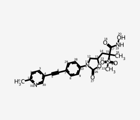 Cc1ccc(C#Cc2ccc(N3CC(CC(C)(C(=O)NO)S(C)(=O)=O)OC3=O)cc2)cn1